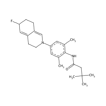 Cc1cc(N2C=C3CCC(F)C=C3CC2)cc(C)c1NC(=O)CC(C)(C)C